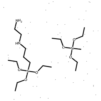 CCO[Si](C)(OCC)OCC.CCO[Si](CCCNCCN)(OCC)OCC